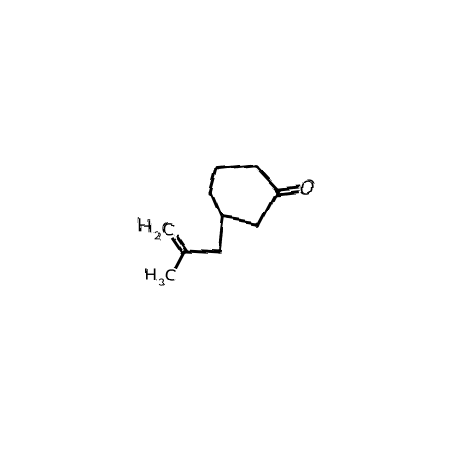 C=C(C)CC1CCCC(=O)C1